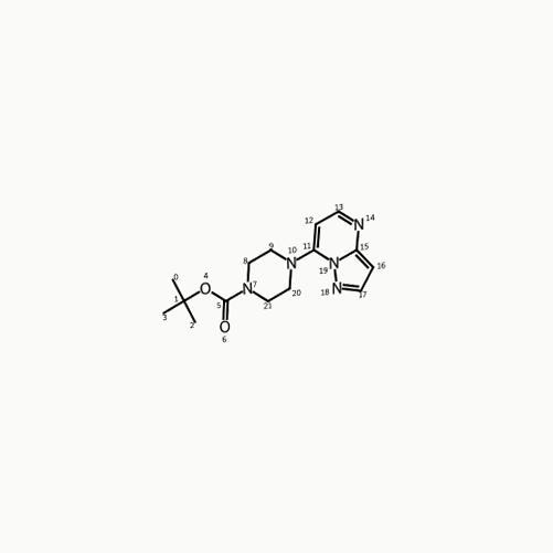 CC(C)(C)OC(=O)N1CCN(c2ccnc3ccnn23)CC1